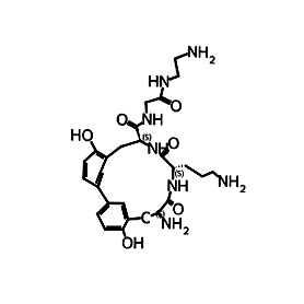 NCCC[C@@H]1NC(=O)[C@@H](N)Cc2cc(ccc2O)-c2ccc(O)c(c2)C[C@@H](C(=O)NCC(=O)NCCN)NC1=O